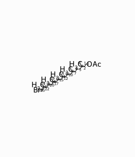 CC(=O)OC/C=C(\C)CC/C=C(\C)CC/C=C(\C)CC/C=C(\C)CC/C=C(\C)CBr